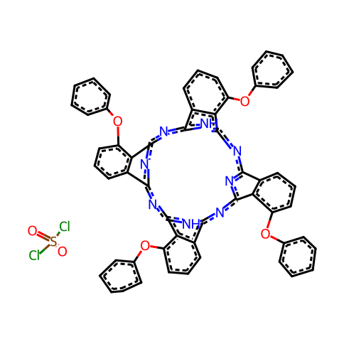 O=S(=O)(Cl)Cl.c1ccc(Oc2cccc3c2-c2nc-3nc3[nH]c(nc4nc(nc5[nH]c(n2)c2cccc(Oc6ccccc6)c52)-c2cccc(Oc5ccccc5)c2-4)c2cccc(Oc4ccccc4)c32)cc1